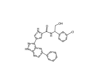 O=C(NC(CO)c1cccc(Cl)c1)c1cc(-c2n[nH]c3ncc(-c4ccccc4)cc23)c[nH]1